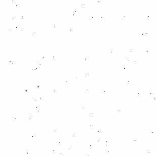 Bc1cc2ccccc2n1S(=O)(=O)c1ccccc1